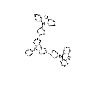 c1ccc(-n2c3ccc(-c4ccc(N5c6ccccc6Oc6ccccc65)cc4)cc3c3cc(-c4ccc(N5c6ccccc6Oc6ccccc65)cc4)ccc32)cc1